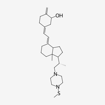 C=C1CC/C(=C/C=C2\CCCC3(C)C2CCC3[C@H](C)CN2CCN(SC)CC2)CC1O